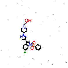 O=S(=O)(c1ccccc1)n1cc(-c2cnn(C3CCN(CCO)CC3)c2)c2ccc(F)cc21